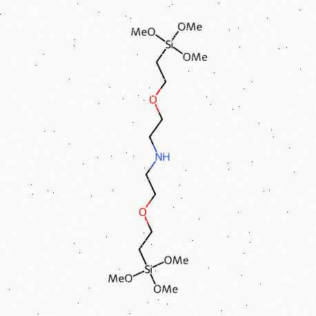 CO[Si](CCOCCNCCOCC[Si](OC)(OC)OC)(OC)OC